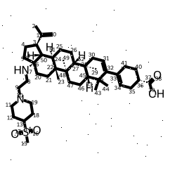 C=C(C)[C@@H]1CC[C@]2(NCCN3CCC(S(C)(=O)=O)CC3)CC[C@]3(C)[C@H](CC[C@@H]4[C@@]5(C)CC=C(C6=CC[C@@H](C(=O)O)CC6)C(C)(C)[C@@H]5CC[C@]43C)[C@@H]12